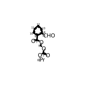 CC(C)OC(=O)OCOC(=O)c1ccccc1C=O